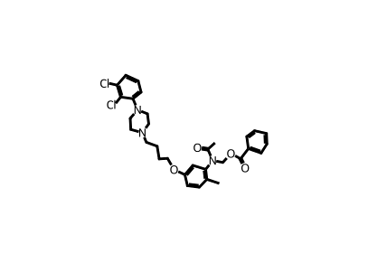 CC(=O)N(COC(=O)c1ccccc1)c1cc(OCCCCN2CCN(c3cccc(Cl)c3Cl)CC2)ccc1C